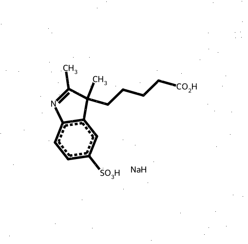 CC1=Nc2ccc(S(=O)(=O)O)cc2C1(C)CCCCC(=O)O.[NaH]